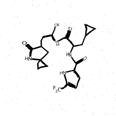 N#CC(CC1CC2(CC2)NC1=O)NC(=O)C(CC1CC1)NC(=O)c1ccc(C(F)(F)F)[nH]1